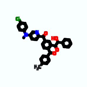 CN(c1ccc(Cl)cc1)c1ccc(C(=O)c2ccc(C(=O)c3ccc(C(F)(F)F)cc3)c(C(=O)C(O)c3ccccc3)c2)nc1